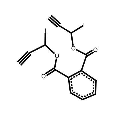 C#CC(I)OC(=O)c1ccccc1C(=O)OC(I)C#C